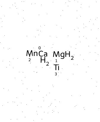 [CaH2].[MgH2].[Mn].[Ti]